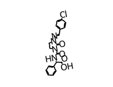 O=C(O)[C@H](NC(=O)N1CCN(/N=C/c2ccc(Cl)cc2)C1=O)c1ccccc1